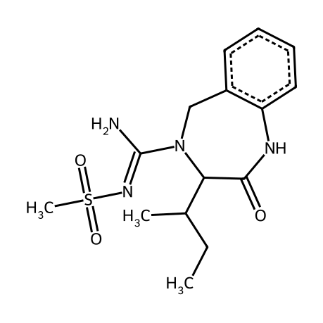 CCC(C)C1C(=O)Nc2ccccc2CN1C(N)=NS(C)(=O)=O